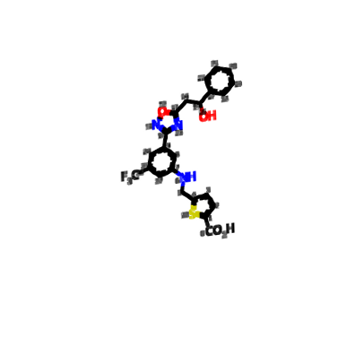 O=C(O)c1ccc(CNc2cc(-c3noc(CC(O)c4ccccc4)n3)cc(C(F)(F)F)c2)s1